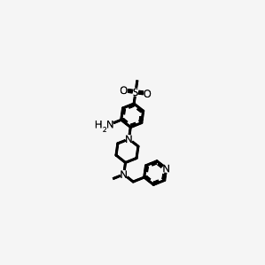 CN(Cc1ccncc1)C1CCN(c2ccc(S(C)(=O)=O)cc2N)CC1